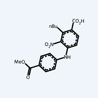 CCCCc1c(C(=O)O)ccc(Nc2ccc(C(=O)OC)cc2)c1[N+](=O)[O-]